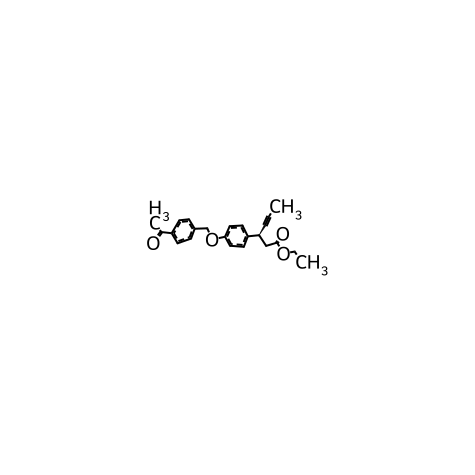 CC#C[C@@H](CC(=O)OCC)c1ccc(OCc2ccc(C(C)=O)cc2)cc1